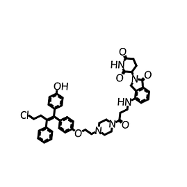 O=C1CCC(N2Cc3c(NCCC(=O)N4CCN(CCOc5ccc(C(=C(CCCl)c6ccccc6)c6ccc(O)cc6)cc5)CC4)cccc3C2=O)C(=O)N1